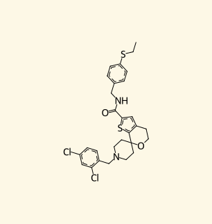 CCSc1ccc(CNC(=O)c2cc3c(s2)C2(CCN(Cc4ccc(Cl)cc4Cl)CC2)OCC3)cc1